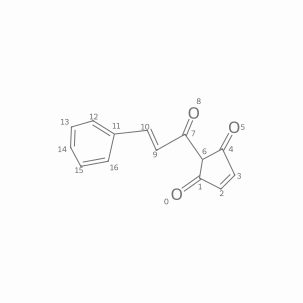 O=C1C=CC(=O)C1C(=O)C=Cc1ccccc1